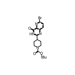 CC(C)(C)OC(=O)N1CCC(c2nc3ccc(Br)nc3c(=O)[nH]2)CC1